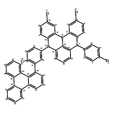 CCc1ccc(N2c3ccc(CC)cc3B3c4cc(CC)ccc4N(c4ccc(CC)c(-c5cccc6c7ccccc7c7ccccc7c56)c4)c4cccc2c43)cc1